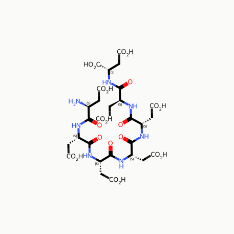 N[C@@H](CC(=O)O)C(=O)N[C@@H](CC(=O)O)C(=O)N[C@@H](CC(=O)O)C(=O)N[C@@H](CC(=O)O)C(=O)N[C@@H](CC(=O)O)C(=O)N[C@@H](CC(=O)O)C(=O)N[C@@H](CC(=O)O)C(=O)O